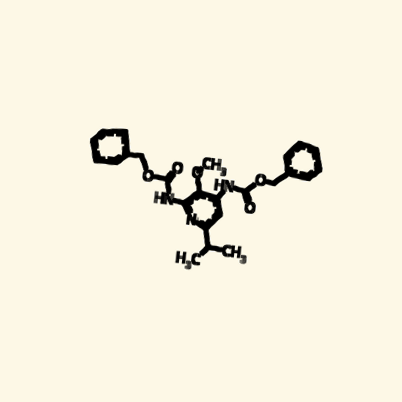 COc1c(NC(=O)OCc2ccccc2)cc(C(C)C)nc1NC(=O)OCc1ccccc1